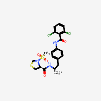 CS(=O)(=O)N1CSC[C@@H]1C(=O)N[C@@H](Cc1ccc(NC(=O)c2c(Cl)cccc2Cl)cc1)C(=O)O